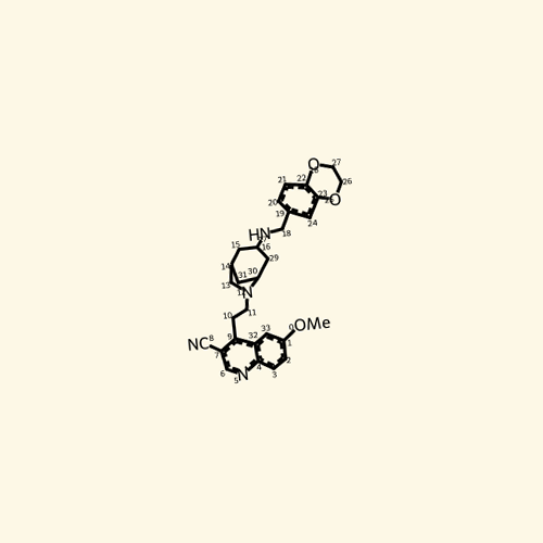 COc1ccc2ncc(C#N)c(CCN3CC4CC(NCc5ccc6c(c5)OCCO6)CC3C4)c2c1